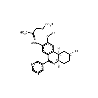 CCOc1cc2c(cc1OC)C(c1cncnc1)=N[C@@H]1CC[C@@H](O)C[C@H]21.O=C(O)CCC(=O)C(=O)O